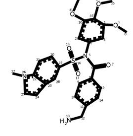 COc1cc(N(C(=O)c2ccc(CN)cc2)S(=O)(=O)c2ccc3c(ccn3C)c2)cc(OC)c1OC